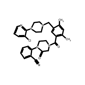 Cc1cc(C)c(C(=O)N2CCN(c3ccccc3C#N)C(=O)C2)cc1CN1CCN(c2ncccc2Cl)CC1